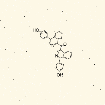 O=C(c1nnc(-c2ccc(O)cc2)c2ccccc12)c1nnc(-c2ccc(O)cc2)c2ccccc12